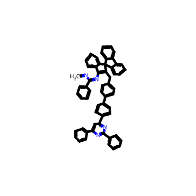 C=N/C(=N\C1=C(Cc2ccc(-c3ccc(-c4cc(-c5ccccc5)nc(-c5ccccc5)n4)cc3)cc2)C2(c3ccccc31)c1ccccc1-c1ccccc12)c1ccccc1